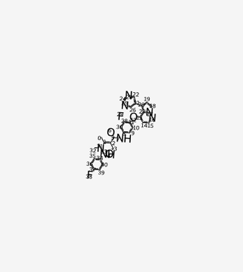 C/C(=C(/C=O)C(=O)Nc1ccc(Oc2ccnn3ccc(-c4cncnc4)c23)c(F)c1)N(C)Nc1ccc(F)cc1